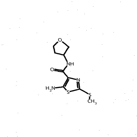 CSc1nc(C(=O)NC2CCOC2)c(N)s1